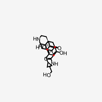 O=C(C[C@H]1C[C@@]2(O)[C@H]3Cc4c(CC5CC5)cc(O)cc4[C@@]2(CCN3)CC1=O)NCCO